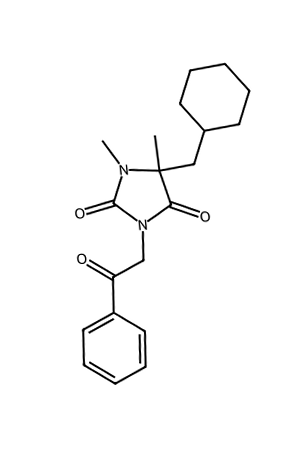 CN1C(=O)N(CC(=O)c2ccccc2)C(=O)C1(C)CC1CCCCC1